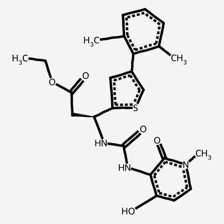 CCOC(=O)C[C@H](NC(=O)Nc1c(O)ccn(C)c1=O)c1cc(-c2c(C)cccc2C)cs1